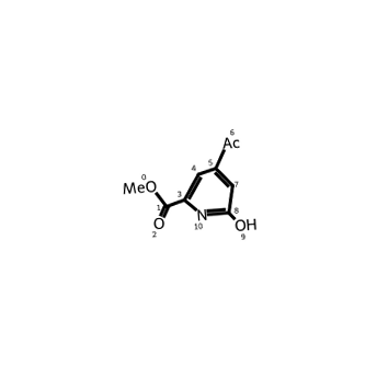 COC(=O)c1cc(C(C)=O)cc(O)n1